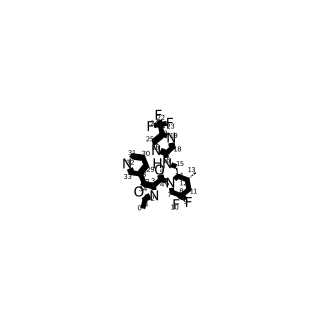 Cc1nc(C(=O)N2CC(F)(F)C[C@@H](C)[C@H]2CNc2cnc(C(F)(F)F)cn2)c(-c2cccnc2)o1